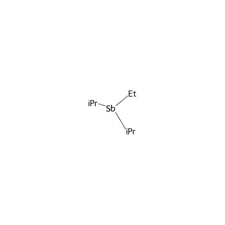 C[CH2][Sb]([CH](C)C)[CH](C)C